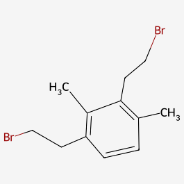 Cc1ccc(CCBr)c(C)c1CCBr